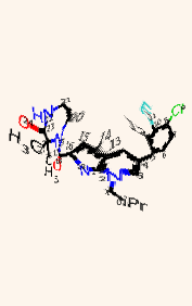 CC(C)Cn1cc(-c2ccc(Cl)c(F)c2)c2ccc(C(=O)N3CCNC(=O)C3(C)C)nc21